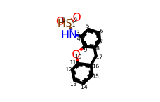 O=[SH](=O)Nc1cccc2c1Oc1ccccc1C2